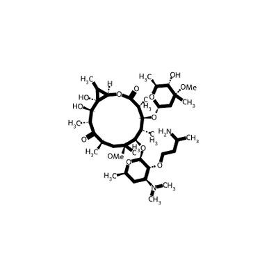 CO[C@]1(C)C[C@H](O[C@H]2[C@H](C)[C@@H](O[C@@H]3O[C@H](C)C[C@H](N(C)C)[C@H]3OCCC(C)N)[C@@](C)(OC)C[C@@H](C)C(=O)[C@H](C)[C@@H](O)[C@@]3(O)C(C)[C@H]3OC(=O)[C@@H]2C)O[C@@H](C)[C@@H]1O